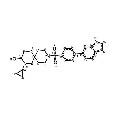 O=C1COC2(CCN(S(=O)(=O)c3ccc(-c4ccn5ccnc5c4)cc3)CC2)CN1C1CC1